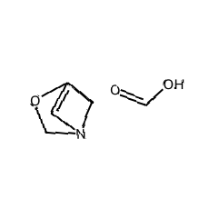 C1=C2CN1CO2.O=CO